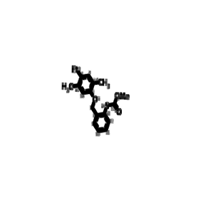 CCc1cc(C)c(OCc2ccccc2SC(=O)OC)cc1C